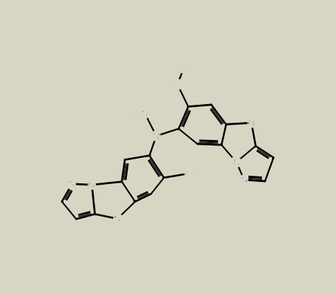 CCOc1cc2[nH]c3ccnn3c2cc1N(N)c1cc2c(cc1C(F)(F)F)[nH]c1ccnn12